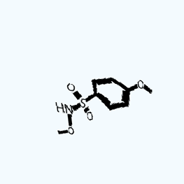 CONS(=O)(=O)c1ccc(OC)cc1